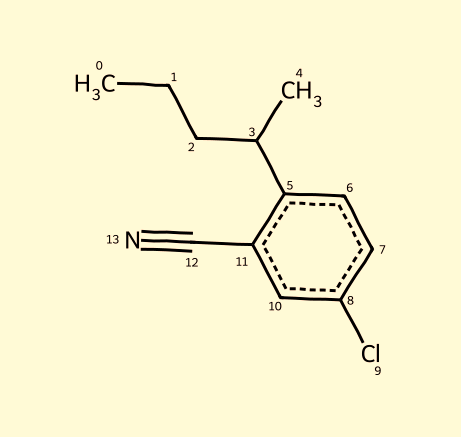 CCCC(C)c1ccc(Cl)cc1C#N